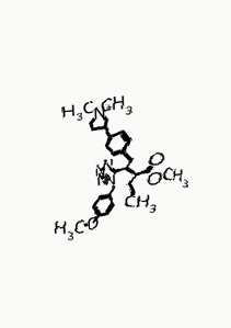 CCC[C@H](C(=O)OC)[C@H](Cc1ccc(C2CC[N+](C)(C)C2)cc1)c1nnnn1Cc1ccc(OC)cc1